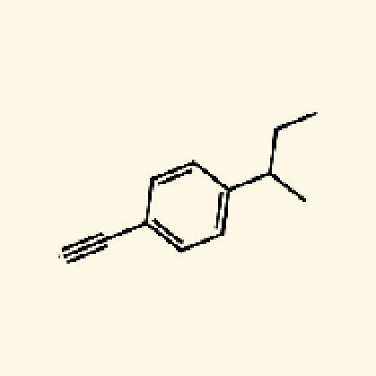 [C]#Cc1ccc(C(C)CC)cc1